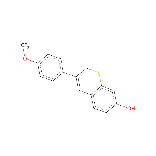 Oc1ccc2c(c1)SCC(c1ccc(OC(F)(F)F)cc1)=C2